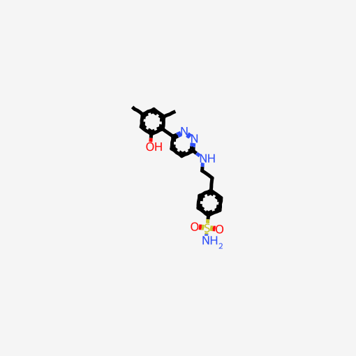 Cc1cc(C)c(-c2ccc(NCCc3ccc(S(N)(=O)=O)cc3)nn2)c(O)c1